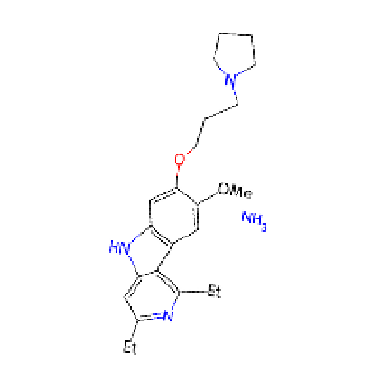 CCc1cc2[nH]c3cc(OCCCN4CCCC4)c(OC)cc3c2c(CC)n1.N